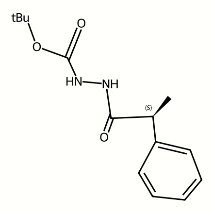 C[C@H](C(=O)NNC(=O)OC(C)(C)C)c1ccccc1